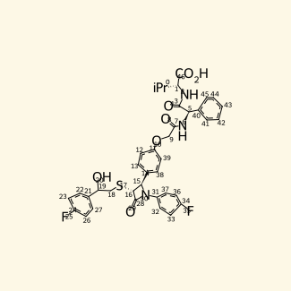 CC(C)[C@@H](NC(=O)[C@H](NC(=O)COc1ccc([C@@H]2[C@@H](SCC(O)c3ccc(F)cc3)C(=O)N2c2ccc(F)cc2)cc1)c1ccccc1)C(=O)O